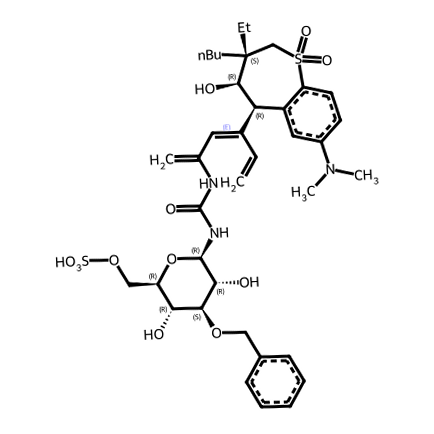 C=C/C(=C\C(=C)NC(=O)N[C@@H]1O[C@H](COS(=O)(=O)O)[C@@H](O)[C@H](OCc2ccccc2)[C@H]1O)[C@@H]1c2cc(N(C)C)ccc2S(=O)(=O)C[C@@](CC)(CCCC)[C@@H]1O